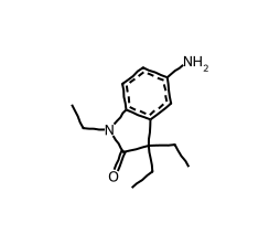 CCN1C(=O)C(CC)(CC)c2cc(N)ccc21